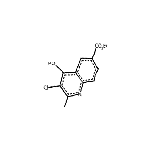 CCOC(=O)c1ccc2nc(C)c(Cl)c(O)c2c1